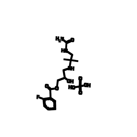 CC(C)(CNC(N)=O)NCC(O)COC(=O)c1ccccc1F.O=S(=O)(O)O